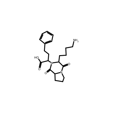 NCCCCC1C(=O)N2CCCC2C(=O)N1C(CCc1ccccc1)C(=O)O